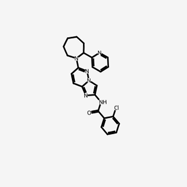 O=C(Nc1cn2nc(N3CCCCCC3c3ccccn3)ccc2n1)c1ccccc1Cl